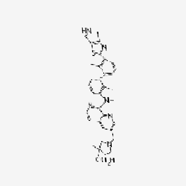 Cc1c(Nc2nccc3cc(CN4CC[C@@](C)(C(=O)O)C4)cnc23)cccc1-c1cccc(-c2nc3c(s2)CNC3)c1C